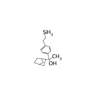 CC(O)(c1ccc(CC[SiH3])cc1)C1CC2CCC1C2